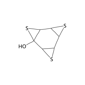 OC12SC1C1SC1C1SC12